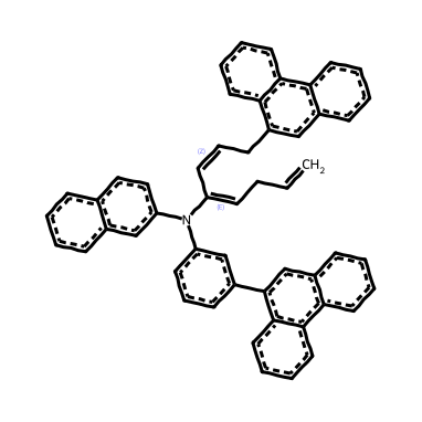 C=CC/C=C(\C=C/Cc1cc2ccccc2c2ccccc12)N(c1cccc(-c2cc3ccccc3c3ccccc23)c1)c1ccc2ccccc2c1